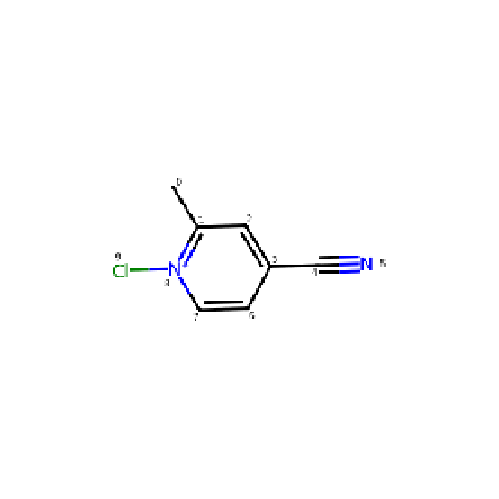 Cc1cc(C#N)cc[n+]1Cl